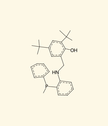 CP(c1ccccc1)c1ccccc1NCc1cc(C(C)(C)C)cc(C(C)(C)C)c1O